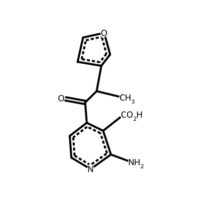 CC(C(=O)c1ccnc(N)c1C(=O)O)c1ccoc1